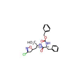 O=C(N[C@@H](Cc1ccccc1)C(=O)N[C@@H](CC1CC(Cl)=NO1)C(=O)O)OCc1ccccc1